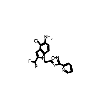 Nc1ccc2c(cc(C(F)F)n2Cc2nc(-c3ccccn3)no2)c1Cl